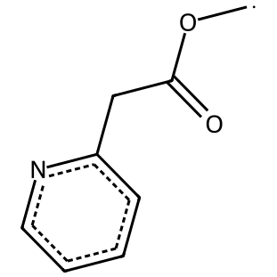 [CH2]OC(=O)Cc1ccccn1